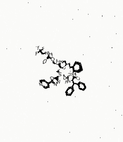 COC(=O)N[C@H](C(=O)Nc1ccccc1CC[C@@H]1CN[C@H](COC(=O)NCC(F)(F)F)[C@@H](CSc2nnc(-c3ccncc3)o2)O1)C(c1ccccc1)c1ccccc1